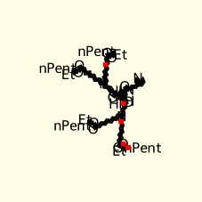 CCCCCC(CC)OC(=O)CCCCCCCCN(CCCCCCCCC(=O)OC(CC)CCCCC)CCCNC(=O)c1cc(C(=O)NCCCN(CCCCCCCCC(=O)OC(CC)CCCCC)CCCCCCCCC(=O)OC(CC)CCCCC)cc(C(=O)NCCc2cccnc2)c1